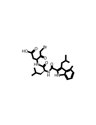 Cc1cccc2[nH]c(C(=O)N[C@@H](CC(C)C)C(=O)NC(CC(=O)O)C(=O)CBr)c(CC(C)C)c12